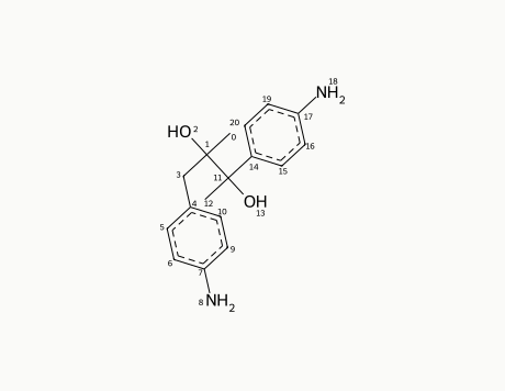 CC(O)(Cc1ccc(N)cc1)C(C)(O)c1ccc(N)cc1